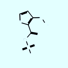 CCOc1ccsc1C(=O)NS(=O)(=O)CC